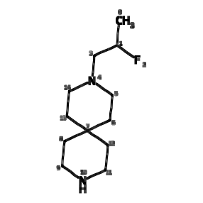 CC(F)CN1CCC2(CCNCC2)CC1